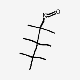 CC(C)(C)C(C)(C)C(C)(C)N=O